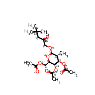 CC(=O)OC[C@H]1O[C@@H](OCC(=O)CC(C)(C)C)[C@H](C)[C@@H](OC(C)=O)[C@H]1OC(C)=O